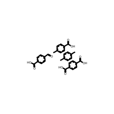 Cc1ccc(C(=O)O)cc1.Cc1ccc(C)cc1.O=C(O)c1ccc(C(=O)O)cc1.O=Cc1ccc(C(=O)O)cc1